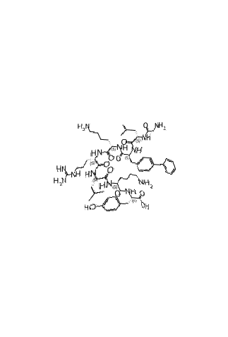 CC(C)C[C@H](NC(=O)CN)C(=O)N[C@@H](Cc1ccc(-c2ccccc2)cc1)C(=O)N[C@@H](CCCCN)C(=O)N[C@@H](CCCNC(=N)N)C(=O)N[C@@H](CC(C)C)C(=O)N[C@@H](CCCCN)C(=O)N[C@@H](Cc1ccc(O)cc1)C(=O)O